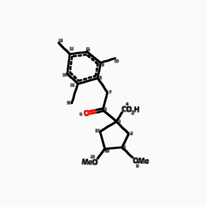 COC1CC(C(=O)O)(C(=O)Cc2c(C)cc(C)cc2C)CC1OC